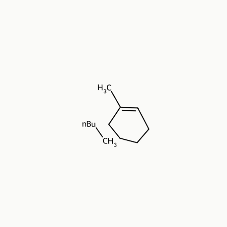 CC1=CCCCC1.CCCCC